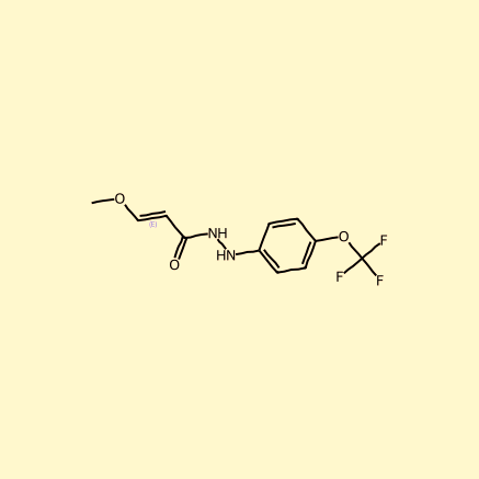 CO/C=C/C(=O)NNc1ccc(OC(F)(F)F)cc1